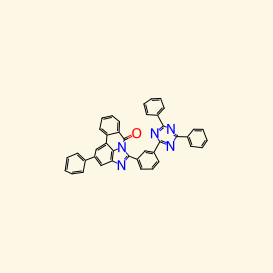 O=c1c2ccccc2c2cc(-c3ccccc3)cc3nc(-c4cccc(-c5nc(-c6ccccc6)nc(-c6ccccc6)n5)c4)n1c32